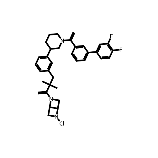 C=C(c1cccc(-c2ccc(F)c(F)c2)c1)N1CCCC(c2cccc(CC(C)(C)C(=C)N3CC4C3CN4Cl)c2)C1